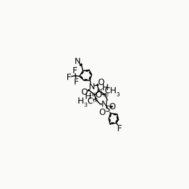 C[C@]12CN(S(=O)(=O)c3ccc(F)cc3)C[C@](C)(O1)[C@@H]1C(=O)N(c3ccc(C#N)c(C(F)(F)F)c3)C(=O)[C@@H]12